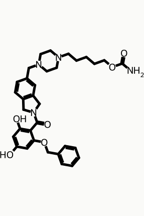 NC(=O)OCCCCCN1CCN(Cc2ccc3c(c2)CN(C(=O)c2c(O)cc(O)cc2OCc2ccccc2)C3)CC1